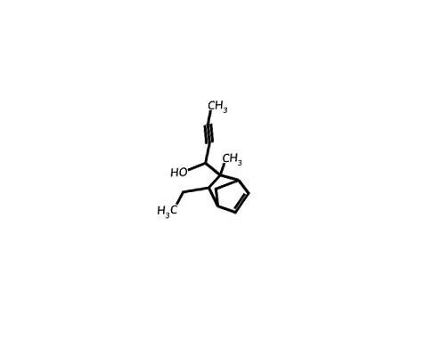 CC#CC(O)C1(C)C2C=CC(C2)C1CC